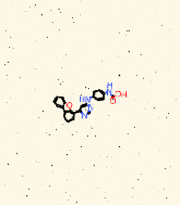 O=C(O)Nc1ccc(Nc2cc(-c3cccc4c3oc3ccccc34)ncn2)cc1